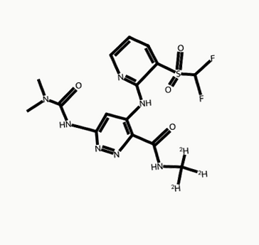 [2H]C([2H])([2H])NC(=O)c1nnc(NC(=O)N(C)C)cc1Nc1ncccc1S(=O)(=O)C(F)F